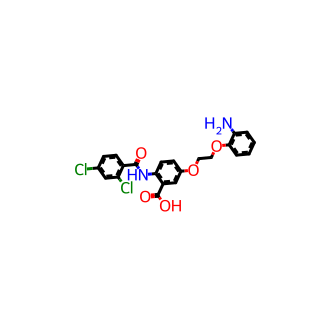 Nc1ccccc1OCCOc1ccc(NC(=O)c2ccc(Cl)cc2Cl)c(C(=O)O)c1